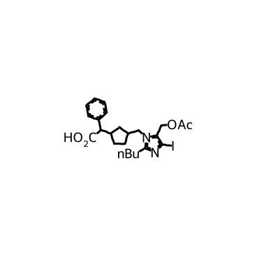 CCCCc1nc(I)c(COC(C)=O)n1CC1CCC(C(C(=O)O)c2ccccc2)C1